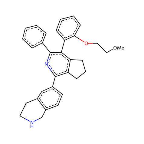 COCCOc1ccccc1-c1c(-c2ccccc2)nc(-c2ccc3c(c2)CCNC3)c2c1CCC2